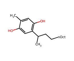 CCCCCCCCCCC(C)c1cc(O)c(C)cc1O